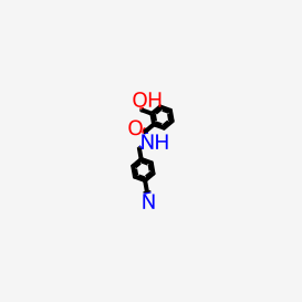 N#Cc1ccc(CNC(=O)c2ccccc2CO)cc1